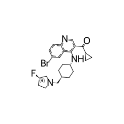 O=C(c1cnc2ccc(Br)cc2c1N[C@H]1CC[C@H](CN2CC[C@@H](F)C2)CC1)C1CC1